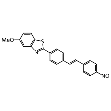 COc1ccc2sc(-c3ccc(/C=C/c4ccc(N=O)cc4)cc3)nc2c1